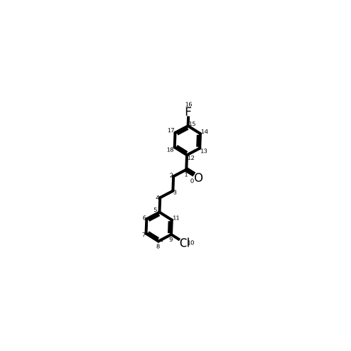 O=C(CCCc1cc[c]c(Cl)c1)c1ccc(F)cc1